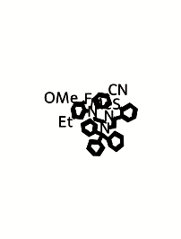 CCc1cc(OC)c(F)c(N(Cc2nc(-c3ccccc3SC)cn2C(c2ccccc2)(c2ccccc2)c2ccccc2)c2ccc(C#N)cc2)c1